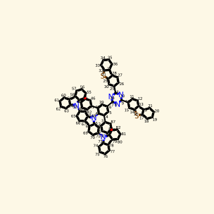 c1ccc(-c2cc(-c3nc(-c4ccc5c(c4)sc4ccccc45)nc(-c4ccc5c(c4)sc4ccccc45)n3)cc(-c3ccccc3)c2-n2c3cc(-n4c5ccccc5c5ccccc54)ccc3c3ccc(-n4c5ccccc5c5ccccc54)cc32)cc1